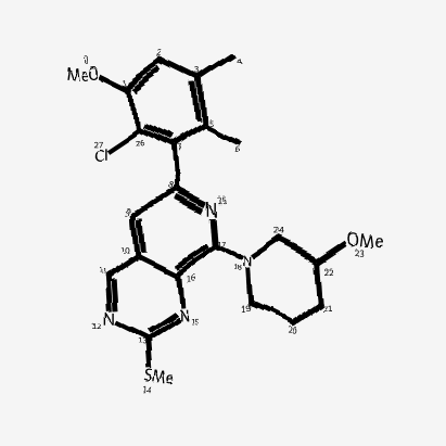 COc1cc(C)c(C)c(-c2cc3cnc(SC)nc3c(N3CCCC(OC)C3)n2)c1Cl